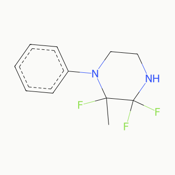 CC1(F)N(c2ccccc2)CCNC1(F)F